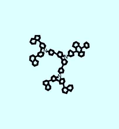 c1ccc(-c2c3ccccc3c(-c3ccc(-n4c5ccc(-c6ccc(-n7c8ccc(-c9cccc%10ccccc9%10)cc8c8cc(-c9cccc%10ccccc9%10)ccc87)cc6)cc5c5cc(-c6ccc(-n7c8ccc(-c9cccc%10ccccc9%10)cc8c8cc(-c9cccc%10ccccc9%10)ccc87)cc6)ccc54)cc3)c3ccccc23)cc1